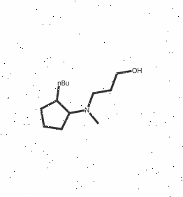 CCCCC1CCCC1N(C)CCCO